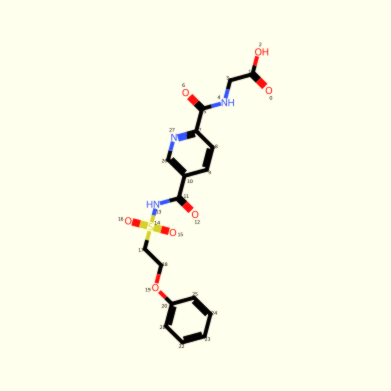 O=C(O)CNC(=O)c1ccc(C(=O)NS(=O)(=O)CCOc2ccccc2)cn1